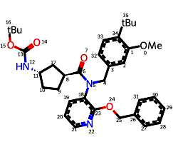 COc1cc(CN(C(=O)[C@H]2CC[C@H](NC(=O)OC(C)(C)C)C2)c2cccnc2OCc2ccccc2)ccc1C(C)(C)C